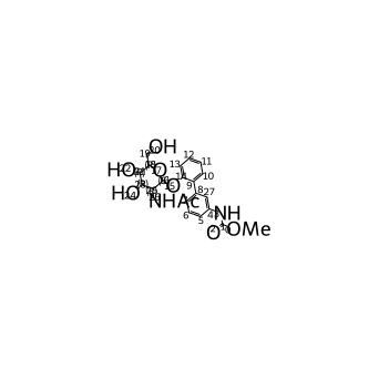 COC(=O)Nc1cccc(-c2ccccc2O[C@@H]2O[C@H](CO)[C@H](O)[C@H](O)[C@H]2NC(C)=O)c1